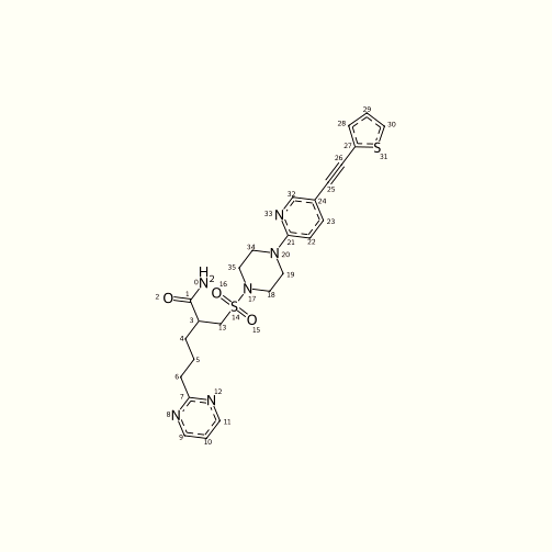 NC(=O)C(CCCc1ncccn1)CS(=O)(=O)N1CCN(c2ccc(C#Cc3cccs3)cn2)CC1